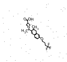 CC(C1=Cc2ccc(OCCCC(F)(F)F)cc2C[C@@H]1C)N1CC(C(=O)O)C1